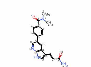 CON(C)C(=O)c1ccc(-c2cnc3[nH]cc(/C=C/C(N)=O)c3c2)cc1